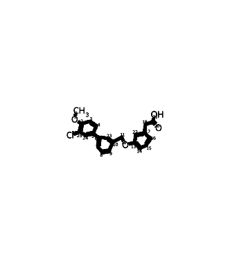 COc1ccc(-c2cccc(COc3cccc(CC(=O)O)c3)c2)cc1Cl